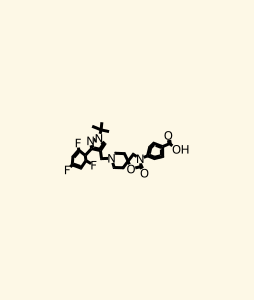 CC(C)(C)n1cc(CN2CCC3(CC2)CN(c2ccc(C(=O)O)cc2)C(=O)O3)c(C2C(F)=CC(F)=CC2F)n1